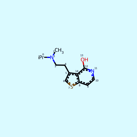 CC(C)N(C)CCc1csc2ccnc(O)c12